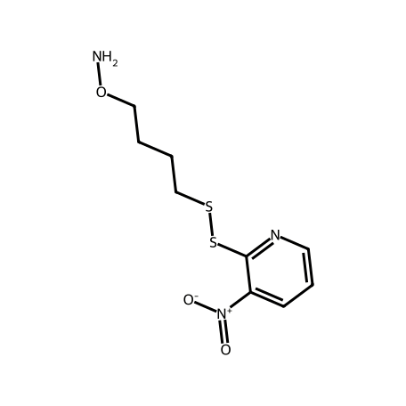 NOCCCCSSc1ncccc1[N+](=O)[O-]